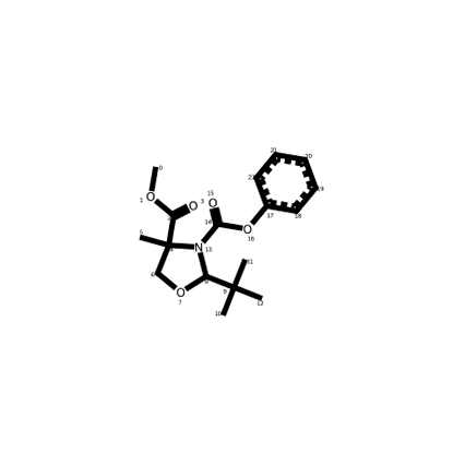 COC(=O)C1(C)COC(C(C)(C)C)N1C(=O)Oc1ccccc1